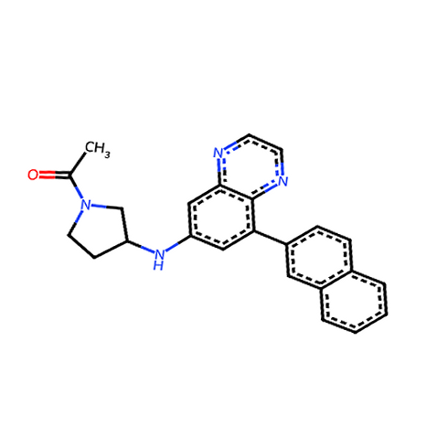 CC(=O)N1CCC(Nc2cc(-c3ccc4ccccc4c3)c3nccnc3c2)C1